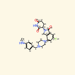 CCNc1ccc(CN2CCN(c3cc(F)cc4c3CN(C3CCC(=O)NC3=O)C4=O)CC2)cc1